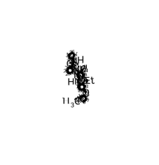 CCOc1cc(O[C@H]2CCN(C)C2)ccc1Nc1ncc(Cl)c(Nc2ccccc2S(=O)(=O)NC2CCCC2)n1